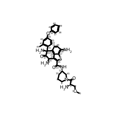 COC[C@@H](N)C(=O)N1CCC[C@@H](NC(=O)c2sc3c(N)ccc4c3c2C(N)C(=O)C4(N)c2ccc(Oc3ccccc3)cc2C)C1